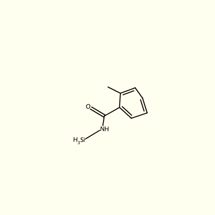 Cc1ccccc1C(=O)N[SiH3]